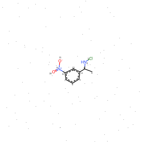 CC(NCl)c1cccc([N+](=O)[O-])c1